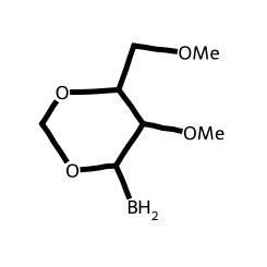 BC1OCOC(COC)C1OC